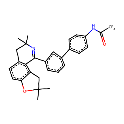 CC1(C)Cc2ccc3c(c2C(c2cccc(-c4ccc(NC(=O)C(F)(F)F)cc4)c2)=N1)CC(C)(C)O3